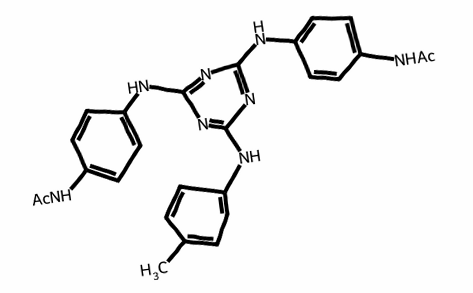 CC(=O)Nc1ccc(Nc2nc(Nc3ccc(C)cc3)nc(Nc3ccc(NC(C)=O)cc3)n2)cc1